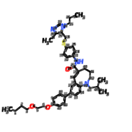 CCCCOCCOc1ccc(-c2ccc3c(c2)C=C(C(=O)Nc2ccc(SCc4c(C)ncn4CCC)cc2)CCCN3CC(C)C)cc1